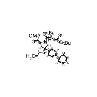 C=CCS[C@@]1(c2ccc(-c3ccccc3)cc2)C[C@@H](C(=O)OC)N(C(=O)C(NC(=O)OC(C)(C)C)C(C)(C)C)C1